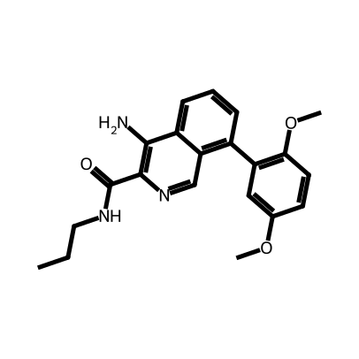 CCCNC(=O)c1ncc2c(-c3cc(OC)ccc3OC)cccc2c1N